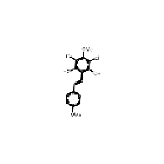 COc1ccc(C=Cc2c(O)c(Cl)c(OC)c(Cl)c2O)cc1